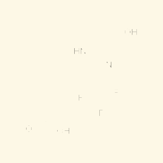 Cc1ccc(C(=O)O)cc1-c1[nH]c(CO)nc1C(F)(F)F